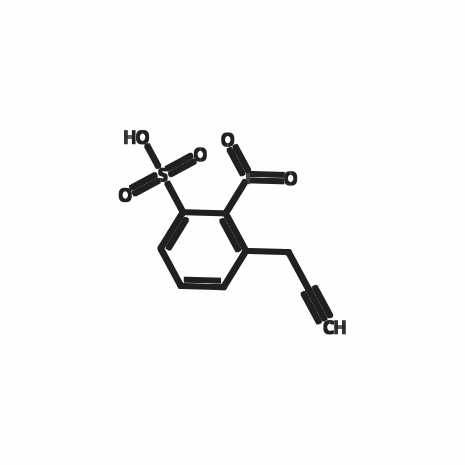 C#CCc1cccc(S(=O)(=O)O)c1I(=O)=O